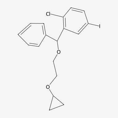 Clc1ccc(I)cc1C(OCCOC1CC1)c1ccccc1